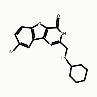 O=c1[nH]c(CNC2CCCCC2)nc2c1oc1ccc(Br)cc12